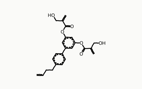 C=CCCc1ccc(-c2cc(OC(=O)C(=C)CO)cc(OC(=O)C(=C)CO)c2)cc1